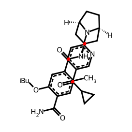 CCC(C)Oc1cc(C(=O)N[C@H]2C[C@H]3CC[C@@H](C2)N3c2ccc(C(=O)C3CC3)cn2)c(C)cc1C(N)=O